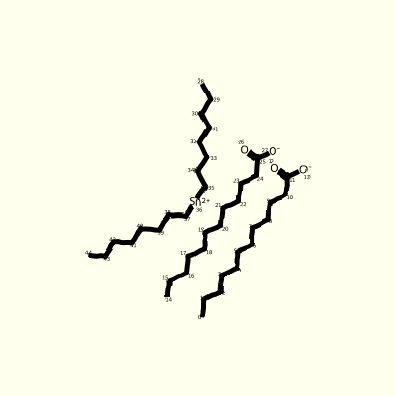 CCCCCCCCCCCC(=O)[O-].CCCCCCCCCCCC(=O)[O-].CCCCCCC[CH2][Sn+2][CH2]CCCCCCC